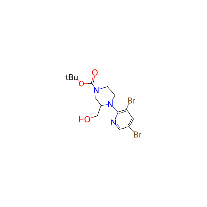 CC(C)(C)OC(=O)N1CCN(c2ncc(Br)cc2Br)C(CO)C1